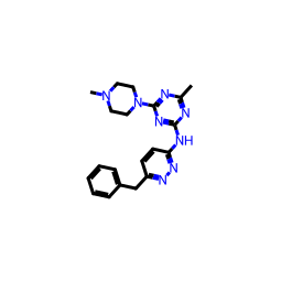 Cc1nc(Nc2ccc(Cc3ccccc3)nn2)nc(N2CCN(C)CC2)n1